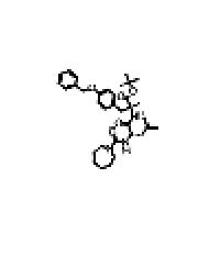 CC(C)C[C@H](NC(=O)N1CCCCCC1)C(=O)N[C@](C)(Cc1ccc(OCc2ccccc2)cc1)C(=O)OC(C)(C)C